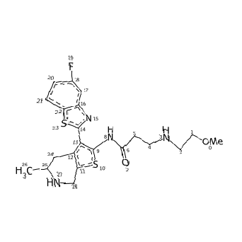 COCCNCCC(=O)Nc1sc2c(c1-c1nc3cc(F)ccc3s1)CC(C)NC2